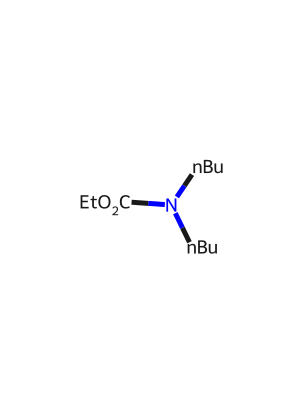 CCCCN(CCCC)C(=O)OCC